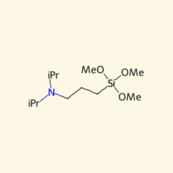 CO[Si](CCCN(C(C)C)C(C)C)(OC)OC